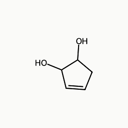 OC1C=CCC1O